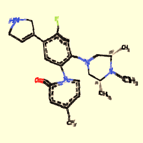 C[C@@H]1CN(c2cc(F)c(C3=CCNC3)cc2-n2ccc(C(F)(F)F)cc2=O)C[C@H](C)N1C